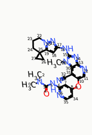 CN(C)C(=O)Nc1cc(Oc2cnc3nc(Nc4cc5n(n4)CCCC54CC4)n(C)c3c2C#N)ccn1